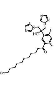 O=C(CCCCCCCCCCBr)c1cc(C(O)(Cn2cncn2)Cn2cncn2)c(F)cc1F